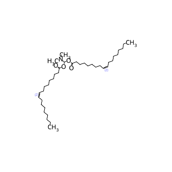 CCCCCCCC/C=C\CCCCCCCC(=O)OC(OC(=O)CCCCCCC/C=C\CCCCCCCC)N(C)C